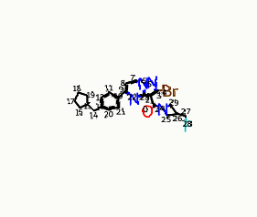 O=C(c1c(Br)nn2ccc(-c3ccc(CC4CCCC4)cc3)nc12)N1CC(CF)C1